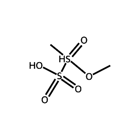 CO[SH](C)(=O)S(=O)(=O)O